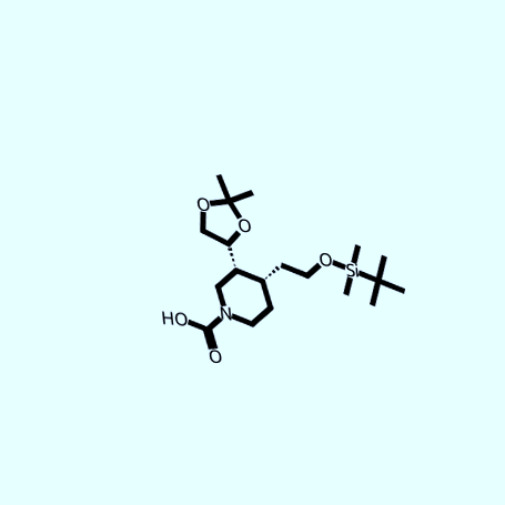 CC1(C)OCC([C@H]2CN(C(=O)O)CC[C@H]2CCO[Si](C)(C)C(C)(C)C)O1